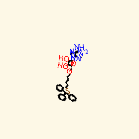 Nc1ncnc2c1ncn2[C@@H]1O[C@H](COCCCCCCSC(c2ccccc2)(c2ccccc2)c2ccccc2)[C@@H](O)[C@H]1O